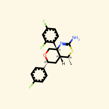 C[C@H]1SC(N)=N[C@@]2(c3ccc(F)cc3F)CO[C@@H](c3ccc(F)cc3)C[C@@H]12